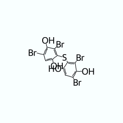 Oc1cc(Br)c(O)c(Br)c1Sc1c(O)cc(Br)c(O)c1Br